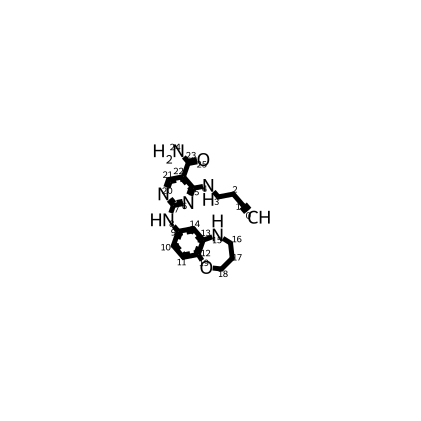 C#CCCNc1nc(Nc2ccc3c(c2)NCCCO3)ncc1C(N)=O